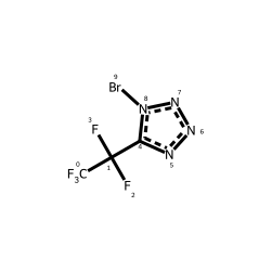 FC(F)(F)C(F)(F)c1nnnn1Br